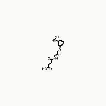 Cl.NNc1cccc(OCCCNC(=O)CCC(=O)O)c1